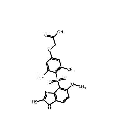 COc1ccc2[nH]c(S)nc2c1S(=O)(=O)c1c(C)cc(OCC(=O)O)cc1C